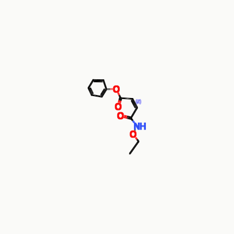 CCONC(=O)/C=C\C(=O)Oc1ccccc1